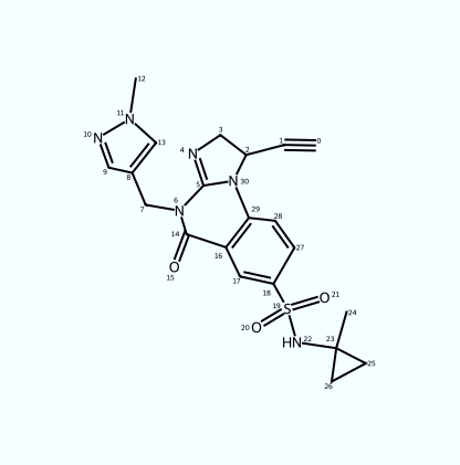 C#CC1CN=C2N(Cc3cnn(C)c3)C(=O)c3cc(S(=O)(=O)NC4(C)CC4)ccc3N21